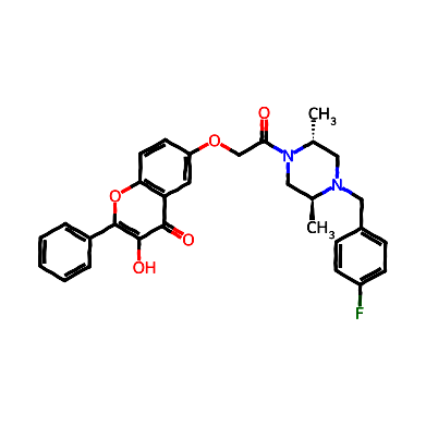 C[C@@H]1CN(Cc2ccc(F)cc2)[C@@H](C)CN1C(=O)COc1ccc2oc(-c3ccccc3)c(O)c(=O)c2c1